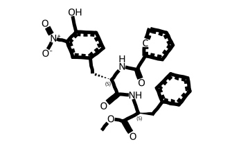 COC(=O)[C@H](Cc1ccccc1)NC(=O)[C@H](Cc1ccc(O)c([N+](=O)[O-])c1)NC(=O)c1ccccc1